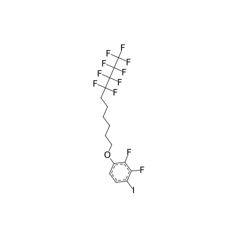 Fc1c(I)ccc(OCCCCCCC(F)(F)C(F)(F)C(F)(F)C(F)(F)F)c1F